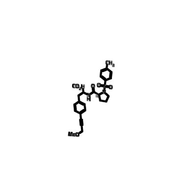 COCC#Cc1ccc(CC(NC(=O)[C@@H]2CCCN2S(=O)(=O)c2ccc(C)cc2)C(=O)O)cc1